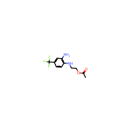 CC(=O)OCCNc1ccc(C(F)(F)F)cc1N